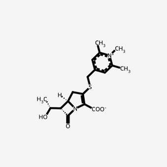 Cc1cc(CSC2=C(C(=O)[O-])N3C(=O)[C@H]([C@@H](C)O)[C@H]3C2)cc(C)[n+]1C